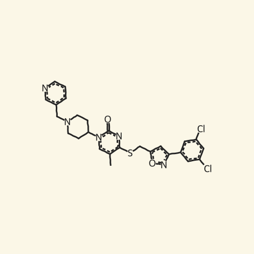 Cc1cn(C2CCN(Cc3cccnc3)CC2)c(=O)nc1SCc1cc(-c2cc(Cl)cc(Cl)c2)no1